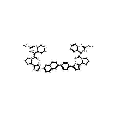 COC(=O)NC(C(=O)N1CCCC1c1ncc(-c2ccc(-c3ccc4cc(-c5cnc(C6CCCN6C(=O)C(NC(=O)OC)C6CCOCC6)[nH]5)ccc4c3)cc2)[nH]1)c1ccccc1